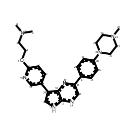 CN(C)CCOc1ccc(-c2c[nH]c3ncc(-c4ccc(N5CCN(C)CC5)cc4)nc23)cn1